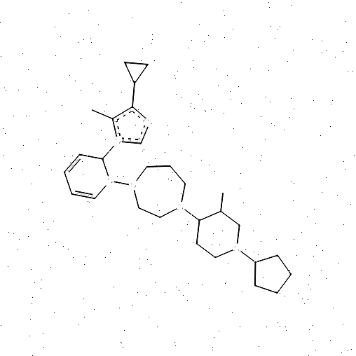 Cc1c(C2CC2)ncn1C1C=CC=CN1N1CCCN(C2CCN(C3CCCC3)CC2F)CC1